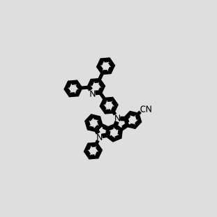 N#Cc1ccc2c3ccc4c(c5ccccc5n4-c4ccccc4)c3n(-c3ccc(-c4cc(-c5ccccc5)cc(-c5ccccc5)n4)cc3)c2c1